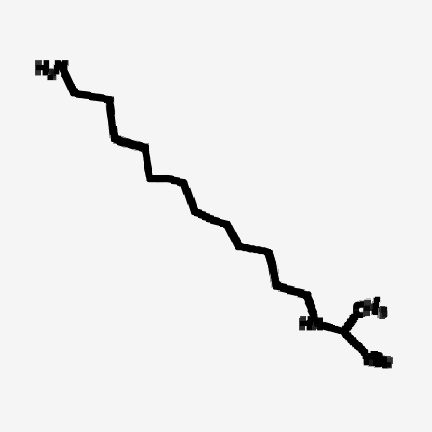 CCCCC(C)NCCCCCCCCCCCCN